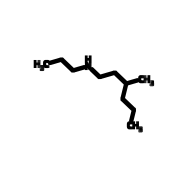 CCCNCCC(C)CCC